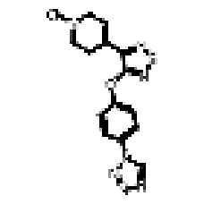 ClN1CC=C(c2nsnc2Oc2ccc(-n3cnnn3)cc2)CC1